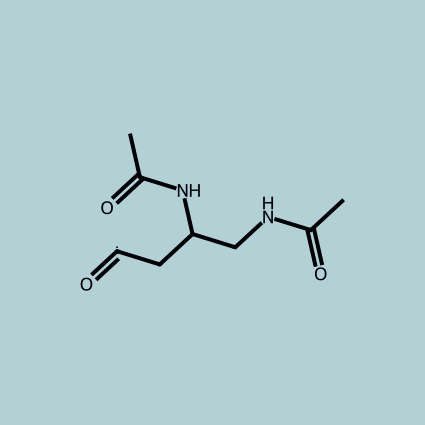 CC(=O)NCC(C[C]=O)NC(C)=O